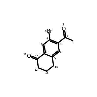 CC(=O)c1cc2c(cc1Br)C(=O)CCC2